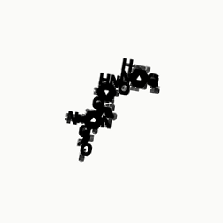 COCCOc1cc2nccc(Oc3ccc(NC(=O)Nc4ccc(OC)cc4)cc3)c2cc1C#N